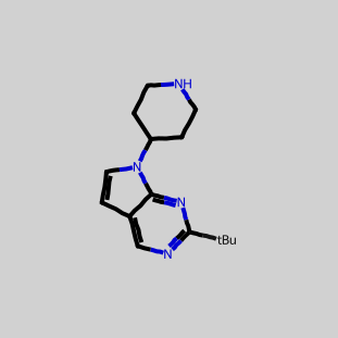 CC(C)(C)c1ncc2ccn(C3CCNCC3)c2n1